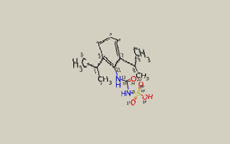 CC(C)c1cccc(C(C)C)c1NC(=O)NS(=O)(=O)O